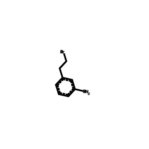 Bc1cccc(CCBr)c1